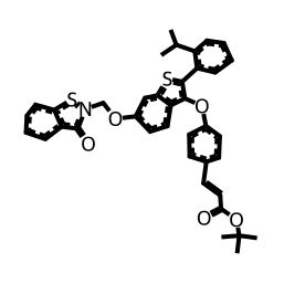 CC(C)c1ccccc1-c1sc2cc(OCn3sc4ccccc4c3=O)ccc2c1Oc1ccc(/C=C/C(=O)OC(C)(C)C)cc1